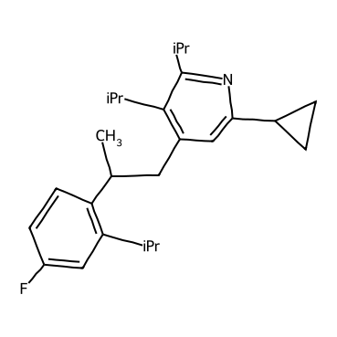 CC(C)c1cc(F)ccc1C(C)Cc1cc(C2CC2)nc(C(C)C)c1C(C)C